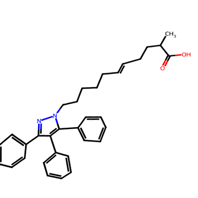 CC(CCC=CCCCCCn1nc(-c2ccccc2)c(-c2ccccc2)c1-c1ccccc1)C(=O)O